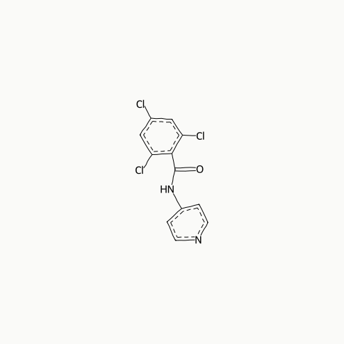 O=C(Nc1ccncc1)c1c(Cl)cc(Cl)cc1Cl